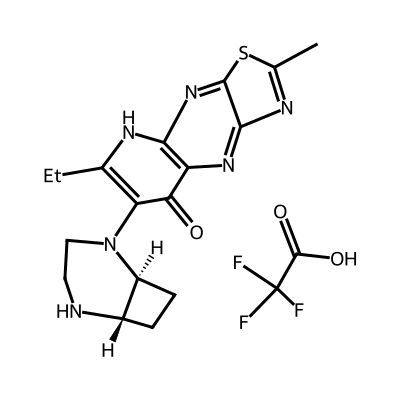 CCc1[nH]c2nc3sc(C)nc3nc2c(=O)c1N1CCN[C@H]2CC[C@@H]21.O=C(O)C(F)(F)F